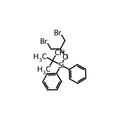 CC(C)(C)[Si](OC(CBr)CBr)(c1ccccc1)c1ccccc1